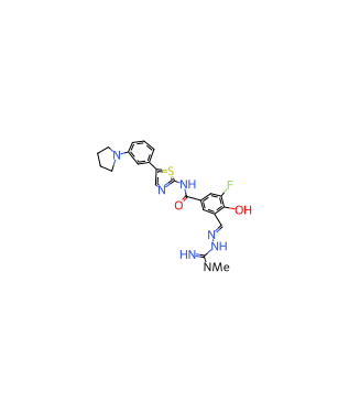 CNC(=N)NN=Cc1cc(C(=O)Nc2ncc(-c3cccc(N4CCCC4)c3)s2)cc(F)c1O